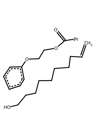 C=CCCCCCCCCO.CC(C)C(=O)OCCOc1ccccc1